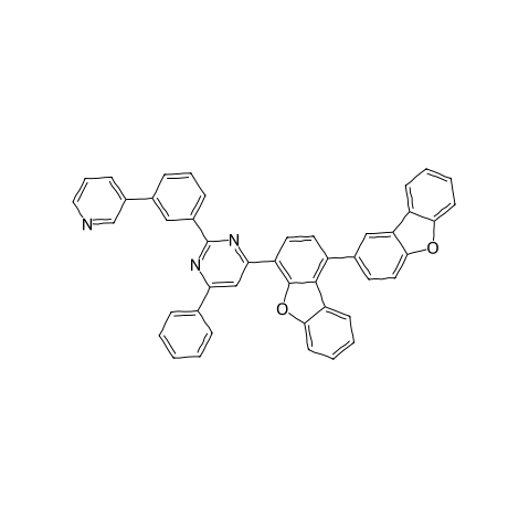 c1ccc(-c2cc(-c3ccc(-c4ccc5oc6ccccc6c5c4)c4c3oc3ccccc34)nc(-c3cccc(-c4cccnc4)c3)n2)cc1